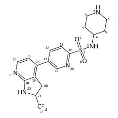 O=S(=O)(NC1CCNCC1)c1ccc(-c2ccnc3c2CC(C(F)(F)F)N3)cn1